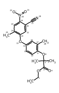 CCOC(=O)C(C)(C)Oc1ccc(Oc2cc(C#N)c([N+](=O)[O-])cc2C)cc1C